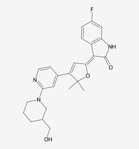 CC1(C)OC(=C2C(=O)Nc3cc(F)ccc32)C=C1c1ccnc(N2CCCC(CO)C2)c1